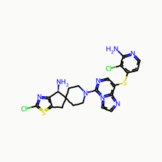 Nc1nccc(Sc2cnc(N3CCC4(CC3)Cc3sc(Cl)nc3[C@H]4N)n3ccnc23)c1Cl